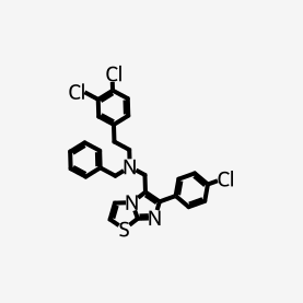 Clc1ccc(-c2nc3sccn3c2CN(CCc2ccc(Cl)c(Cl)c2)Cc2ccccc2)cc1